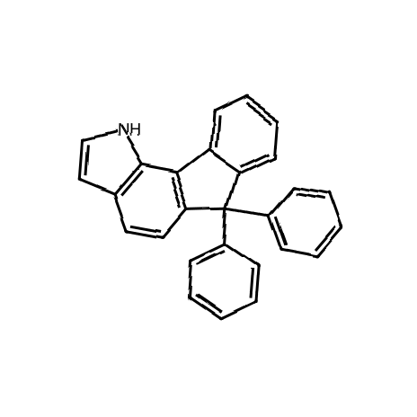 c1ccc(C2(c3ccccc3)c3ccccc3-c3c2ccc2cc[nH]c32)cc1